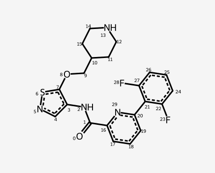 O=C(Nc1cnsc1OCC1CCNCC1)c1cccc(-c2c(F)cccc2F)n1